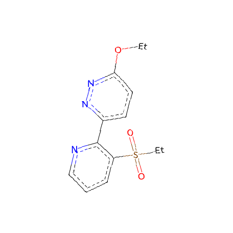 CCOc1ccc(-c2ncccc2S(=O)(=O)CC)nn1